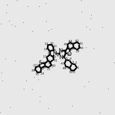 c1ccc2cc(-c3nc(-n4c5ccccc5c5cc6c(ccc7c8ccccc8sc67)cc54)nc4c3oc3c5ccccc5ccc43)ccc2c1